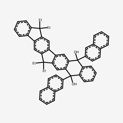 CCC1(CC)c2ccccc2-c2cc3c(cc21)-c1cc2c(cc1C3(CC)CC)C(O)(c1ccc3ccccc3c1)c1ccccc1C2(O)c1ccc2ccccc2c1